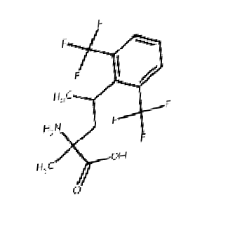 CC(CC(C)(N)C(=O)O)c1c(C(F)(F)F)cccc1C(F)(F)F